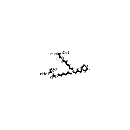 CCCCCCCCC(CCCCCC)OC(=O)OCCCCCCN(CCCCCCOC(=O)C(CCCCCC)CCCCCCCC)CC(O)CN1CCOCC1